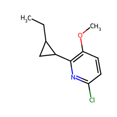 CCC1CC1c1nc(Cl)ccc1OC